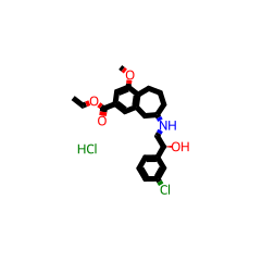 CCOC(=O)c1cc2c(c(OC)c1)CCCC(NC[C@H](O)c1cccc(Cl)c1)C2.Cl